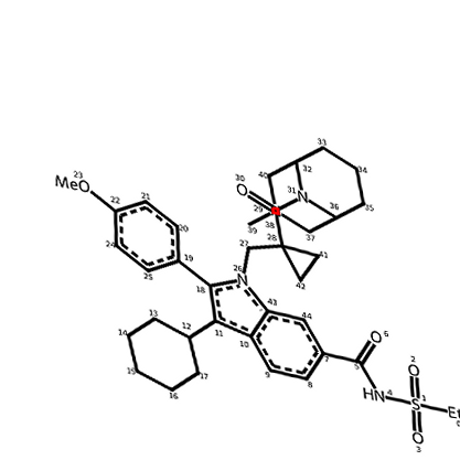 CCS(=O)(=O)NC(=O)c1ccc2c(C3CCCCC3)c(-c3ccc(OC)cc3)n(CC3(C(=O)N4C5CCCC4CN(C)C5)CC3)c2c1